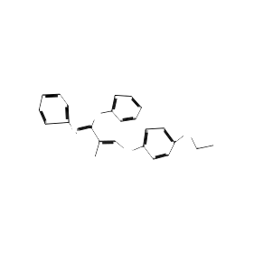 CCOc1ccc(O/C=C(C)/C(=N/c2ccccc2)Sc2ccccc2)cc1